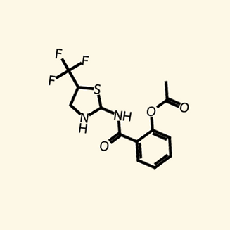 CC(=O)Oc1ccccc1C(=O)NC1NCC(C(F)(F)F)S1